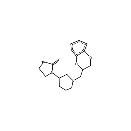 O=C1NCCN1C1CCCN(CC2COc3ccccc3O2)C1